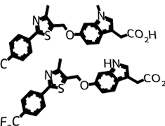 Cc1nc(-c2ccc(C(F)(F)F)cc2)sc1COc1ccc2c(CC(=O)O)c[nH]c2c1.Cc1nc(-c2ccc(C(F)(F)F)cc2)sc1COc1ccc2c(CC(=O)O)cn(C)c2c1